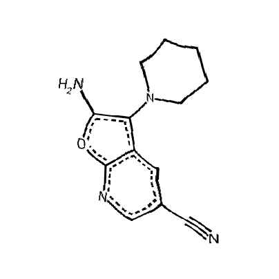 N#Cc1cnc2oc(N)c(N3CCCCC3)c2c1